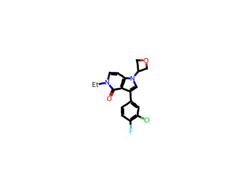 CCn1ccc2c(c(-c3ccc(F)c(Cl)c3)cn2C2COC2)c1=O